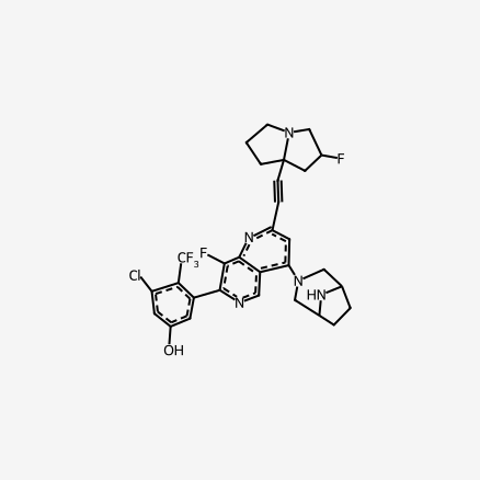 Oc1cc(Cl)c(C(F)(F)F)c(-c2ncc3c(N4CC5CCC(C4)N5)cc(C#CC45CCCN4CC(F)C5)nc3c2F)c1